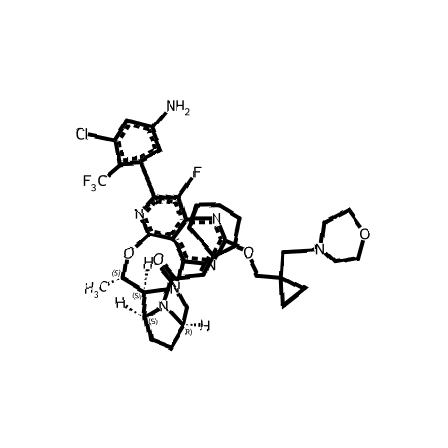 C[C@@H]1Oc2nc(-c3cc(N)cc(Cl)c3C(F)(F)F)c(F)c3nc(OCC4(CN5CCOCC5)CC4)nc(c23)N2C[C@H]3CC[C@@H]([C@@H]12)N3C(=O)C=C1CCCCC1